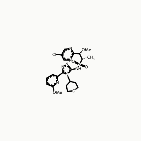 COc1cccc(-c2nnc(NS(=O)(=O)[C@@H](C)[C@H](OC)c3ncc(Cl)cn3)n2C2CCOCC2)n1